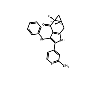 C[C@@]12Cc3[nH]c(-c4ccnc(N)c4)c(Nc4ccccc4)c3C(=O)[C@@H]1C2